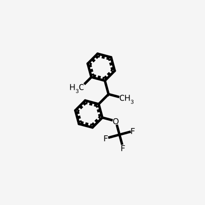 C[C](c1ccccc1C)c1ccccc1OC(F)(F)F